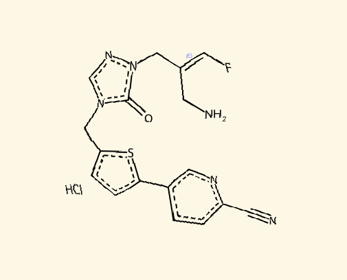 Cl.N#Cc1ccc(-c2ccc(Cn3cnn(C/C(=C/F)CN)c3=O)s2)cn1